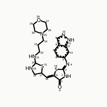 O=C1NC(=Nc2ccc3cn[nH]c3c2)SC1=CC1CNC(NCCCN2CCOCC2)S1